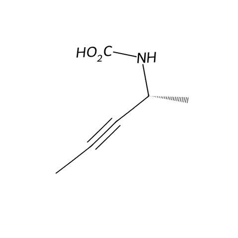 CC#C[C@@H](C)NC(=O)O